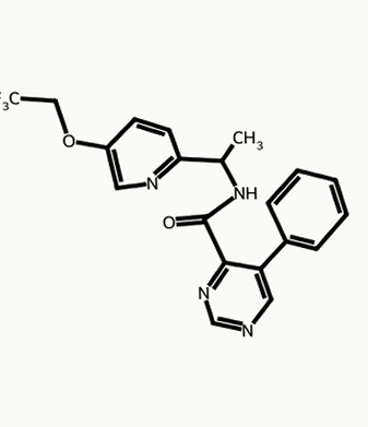 CC(NC(=O)c1ncncc1-c1ccccc1)c1ccc(OCC(F)(F)F)cn1